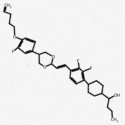 C=CCCCOc1ccc(C2COC(/C=C/c3ccc(C4CCC(C(O)CCC)CC4)c(F)c3F)OC2)cc1F